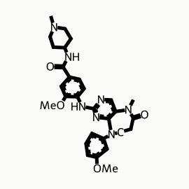 COc1cccc(N2CCC(=O)N(C)c3cnc(Nc4ccc(C(=O)NC5CCN(C)CC5)cc4OC)nc32)c1